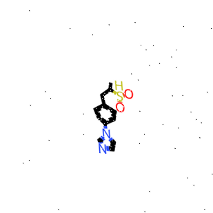 CC(Cc1ccc(-n2ccnc2)cc1)[SH](=O)=O